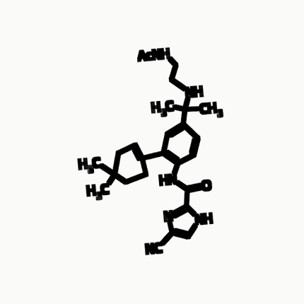 CC(=O)NCCNC(C)(C)c1ccc(NC(=O)c2nc(C#N)c[nH]2)c(C2=CCC(C)(C)CC2)c1